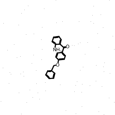 Nc1ccccc1C(=O)c1ccc(OCc2ccccc2)cc1